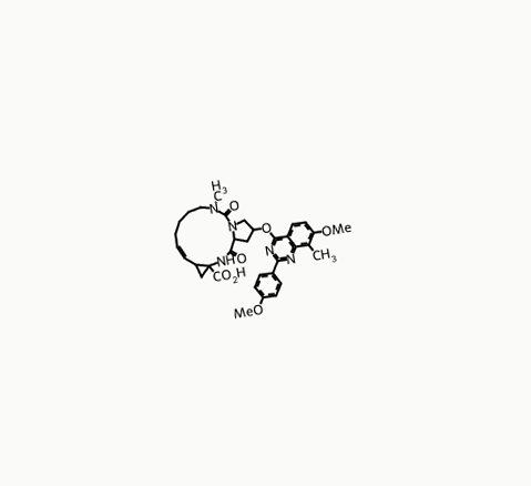 COc1ccc(-c2nc(OC3CC4C(=O)NC5(C(=O)O)CC5C=CCCCCN(C)C(=O)N4C3)c3ccc(OC)c(C)c3n2)cc1